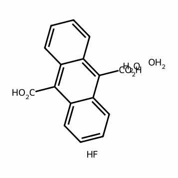 F.O.O.O=C(O)c1c2ccccc2c(C(=O)O)c2ccccc12